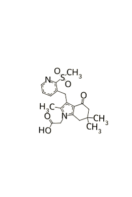 Cc1c(Cc2cccnc2S(C)(=O)=O)c2c(n1CC(=O)O)CC(C)(C)CC2=O